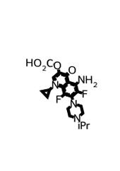 CC(C)N1CCN(c2c(F)c(N)c3c(=O)c(OC(=O)O)cn(C4CC4)c3c2F)CC1